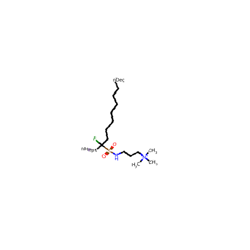 CCCCCCCCCCCCCCCCCC(F)(CCCCCCC)S(=O)(=O)NCCC[N+](C)(C)C.[I-]